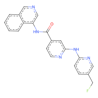 O=C(Nc1cncc2ccccc12)c1ccnc(Nc2ccc(CF)cn2)c1